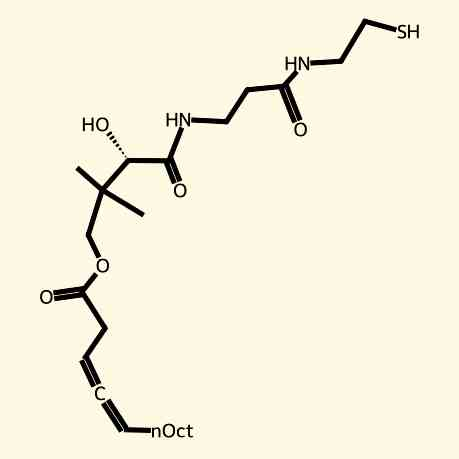 CCCCCCCCC=C=CCC(=O)OCC(C)(C)[C@H](O)C(=O)NCCC(=O)NCCS